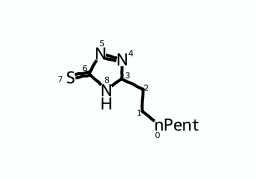 CCCCCCCC1N=NC(=S)N1